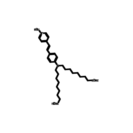 CCCCCCCCCCCCCCCCCCN(CCCCCCCCCCCCCCCCCC)c1ccc(/C=C/c2cc[n+](CCCC)cc2)cc1